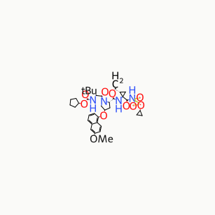 C=C[C@@H]1C[C@]1(NC(=O)[C@@H]1C[C@@H](Oc2cccc3cc(OC)ccc23)CN1C(=O)[C@@H](NC(=O)OC1CCCC1)C(C)(C)C)C(=O)NS(=O)(=O)OC1CC1